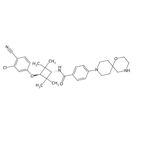 CC1(C)[C@H](NC(=O)c2ccc(N3CCC4(CC3)CNCCO4)cc2)C(C)(C)[C@H]1Oc1ccc(C#N)c(Cl)c1